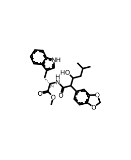 COC(=O)[C@H](Cc1c[nH]c2ccccc12)NC(=O)C(c1ccc2c(c1)OCO2)C(O)CC(C)C